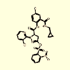 O=C(NCC1CC1)c1cc(Cl)ccc1NC(=O)C1CC(OS(=O)(=O)c2ccccc2[N+](=O)[O-])=NN1c1ncccc1Cl